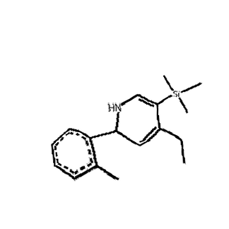 CCC1=CC(c2ccccc2C)NC=C1[Si](C)(C)C